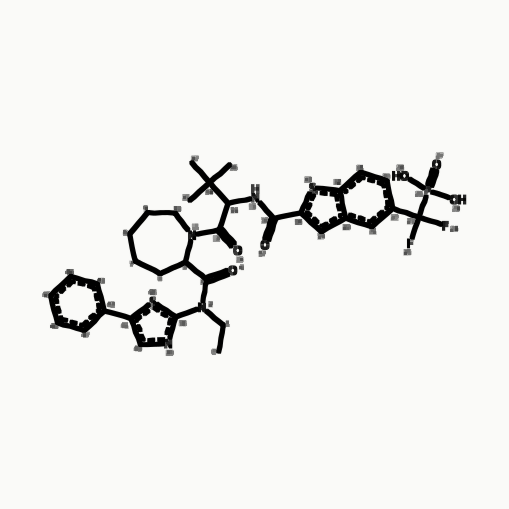 CCN(C(=O)C1CCCCCN1C(=O)C(NC(=O)c1cc2cc(C(F)(F)P(=O)(O)O)ccc2s1)C(C)(C)C)c1ncc(-c2ccccc2)s1